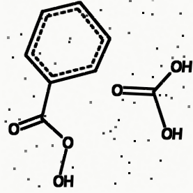 O=C(O)O.O=C(OO)c1ccccc1